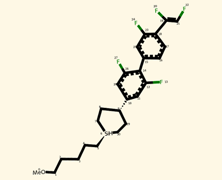 COCCCCC[Si@H]1CC[C@H](c2cc(F)c(-c3ccc(C(F)=CF)c(F)c3)c(F)c2)CC1